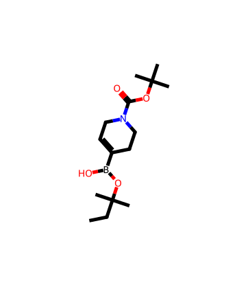 CCC(C)(C)OB(O)C1=CCN(C(=O)OC(C)(C)C)CC1